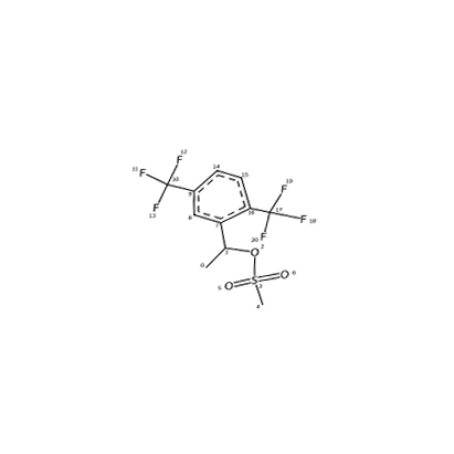 CC(OS(C)(=O)=O)c1cc(C(F)(F)F)ccc1C(F)(F)F